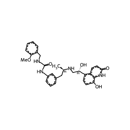 COc1ccccc1CNC(=O)Nc1cccc(C[C@@H](C)NC[C@H](O)c2ccc(O)c3[nH]c(=O)ccc23)c1